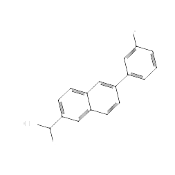 O=CC(Br)c1ccc2cc(-c3cc[c]c(Br)c3)ccc2c1